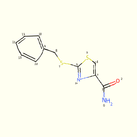 NC(=O)c1[c]sc(SCc2ccccc2)n1